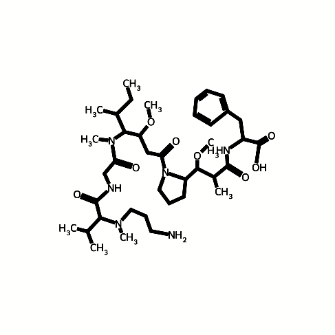 CCC(C)C(C(CC(=O)N1CCCC1C(OC)C(C)C(=O)NC(Cc1ccccc1)C(=O)O)OC)N(C)C(=O)CNC(=O)C(C(C)C)N(C)CCCN